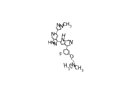 CN(C)CCOc1cc(F)cc(-c2cncc3[nH]c(-c4n[nH]c5cnc(-c6cnn(C)c6)cc45)cc23)c1